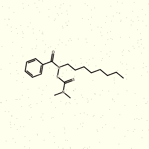 CCCCCCCCN(SC(=S)N(C)C)C(=O)c1ccccc1